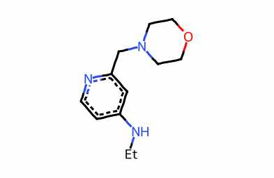 CCNc1ccnc(CN2CCOCC2)c1